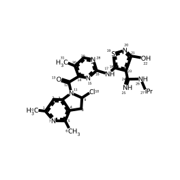 Cc1cc2c(c(C)n1)CC(Cl)N2C(=O)c1nc(Nc2snc(O)c2C(=N)NC(C)C)ncc1C